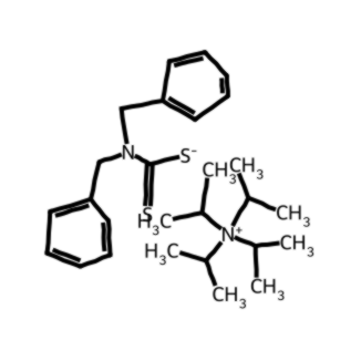 CC(C)[N+](C(C)C)(C(C)C)C(C)C.S=C([S-])N(Cc1ccccc1)Cc1ccccc1